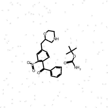 CC(C)(C)OC(N)=O.O=C(c1ccccc1)c1ccc(CC2CNCCO2)cc1[N+](=O)[O-]